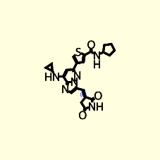 O=C1C/C(=C\c2cnc3c(NC4CC4)cc(-c4csc(C(=O)NC5CCCC5)c4)nn23)C(=O)N1